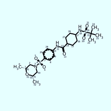 C[C@@H]1CN(S(=O)(=O)c2ccc(NC(=O)C3CCC(NS(=O)(=O)C(C)(C)C)CC3)cc2)C[C@H](C)O1